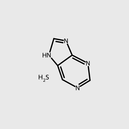 S.c1ncc2[nH]cnc2n1